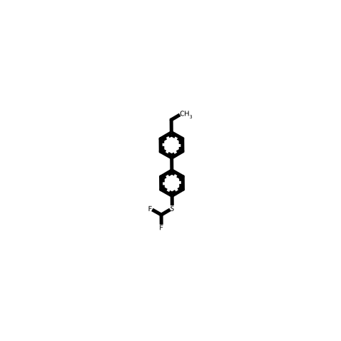 CCc1ccc(-c2ccc(SC(F)F)cc2)cc1